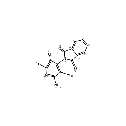 Nc1nc(F)c(Cl)c(N2C(=O)c3ccccc3C2=O)c1F